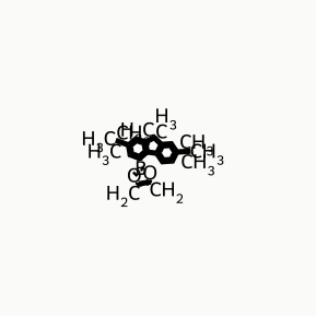 C=C1OB(c2cc(C(C)(C)C)cc3c2-c2ccc(C(C)(C)C)cc2C3(C)C)OC1=C